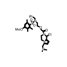 CCC1c2ccc(CN(C)C)n2CCN1C(=O)COCCN(CC(C)C)S(=O)(=O)c1c(C)cc(OC)c(C)c1C